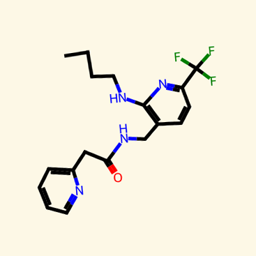 CCCCNc1nc(C(F)(F)F)ccc1CNC(=O)Cc1ccccn1